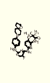 CC1(C)Oc2ccc(Nc3nc(Nc4ccc(N5CCC6(CCCO6)CC5)cc4)ncc3F)nc2NC1=O